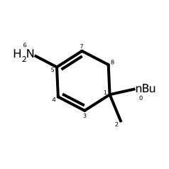 CCCCC1(C)C=CC(N)=CC1